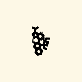 CCC12C=CC1(CC)[n+]1cnc3c(C(C)C)csc3c1-c1c(F)cc3ccccc3c12